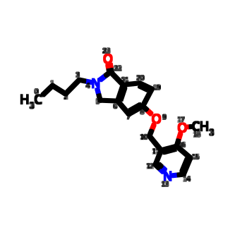 CCCCN1Cc2cc(OCc3cnccc3OC)ccc2C1=O